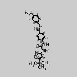 Cc1ccc(CNc2ccc(NC(=O)Nc3cc(C(C)(C)C)on3)cc2)cc1